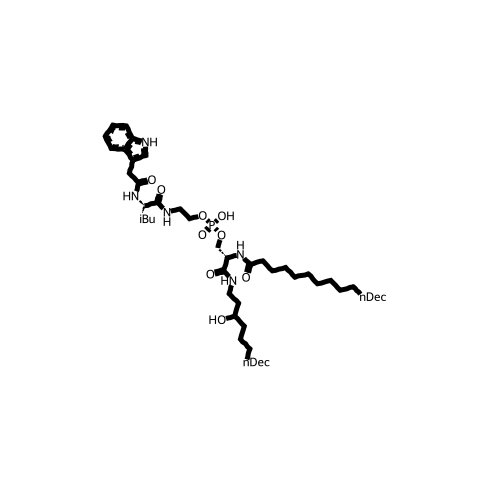 CCCCCCCCCCCCCCCCCCCC(=O)N[C@@H](COP(=O)(O)OCCNC(=O)[C@@H](NC(=O)Cc1c[nH]c2ccccc12)[C@@H](C)CC)C(=O)NCCC(O)CCCCCCCCCCCCC